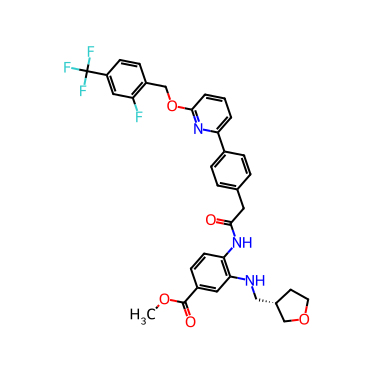 COC(=O)c1ccc(NC(=O)Cc2ccc(-c3cccc(OCc4ccc(C(F)(F)F)cc4F)n3)cc2)c(NC[C@@H]2CCOC2)c1